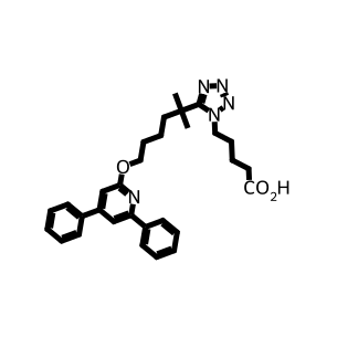 CC(C)(CCCCOc1cc(-c2ccccc2)cc(-c2ccccc2)n1)c1nnnn1CCCCC(=O)O